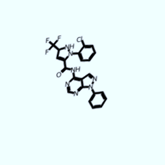 O=C(Nc1ncnc2c1cnn2-c1ccccc1)C1=CC(C(F)(F)F)NN1c1ccccc1Cl